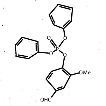 COc1cc(C=O)ccc1OP(=O)(Oc1ccccc1)Oc1ccccc1